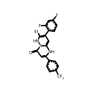 CCC1=C(c2ccc(F)cc2F)C=C2NC(c3ccc(C(F)(F)F)cc3)=CC(=O)N2N1